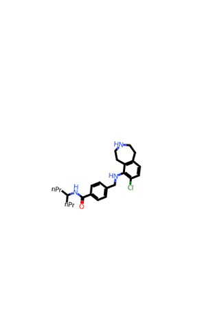 CCCC(CCC)NC(=O)c1ccc(CNc2c(Cl)ccc3c2CCNCC3)cc1